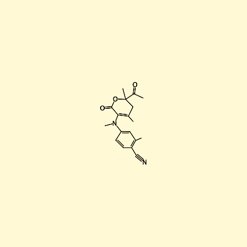 CC(=O)C1(C)CC(C)=C(N(C)c2ccc(C#N)c(C)c2)C(=O)O1